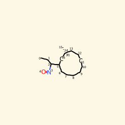 CCC(N=O)C1CCCCCCCC[C@@H](C)C1